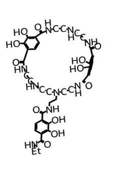 CCNC(=O)c1ccc(C(=O)NCCN2CCNCCNC(=O)c3ccc(c(O)c3O)C(=O)NCCNCCNC(=O)c3ccc(c(O)c3O)C(=O)NCC2)c(O)c1O